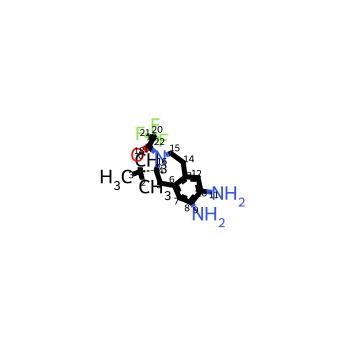 CC(C)(C)[C@H]1Cc2cc(N)c(N)cc2CCN1C(=O)C(F)(F)F